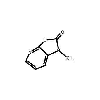 Cn1c(=O)oc2ncccc21